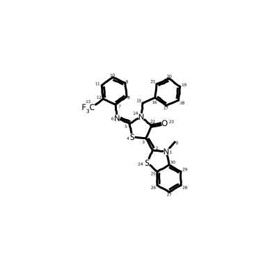 CN1C(=C2SC(=Nc3ccccc3C(F)(F)F)N(Cc3ccccc3)C2=O)Sc2ccccc21